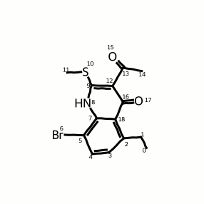 CCc1ccc(Br)c2[nH]c(SC)c(C(C)=O)c(=O)c12